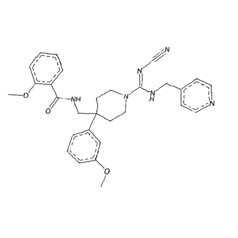 COc1cccc(C2(CNC(=O)c3ccccc3OC)CCN(/C(=N/C#N)NCc3ccncc3)CC2)c1